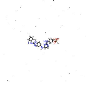 CN(c1ccc2c(c1)nc(Nc1ccccc1)n2C)c1ccnc(Nc2ccc(OS(C)(=O)=O)cc2)n1